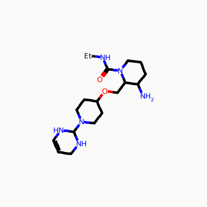 CCNC(=O)N1CCCC(N)C1COC1CCN(C2NC=CCN2)CC1